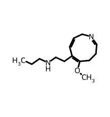 CCCNCCC1=C(\OC)CC/C=N\C/C=C\1